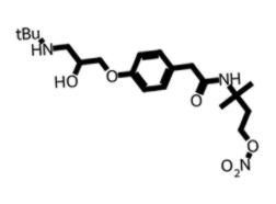 CC(C)(C)NCC(O)COc1ccc(CC(=O)NC(C)(C)CCO[N+](=O)[O-])cc1